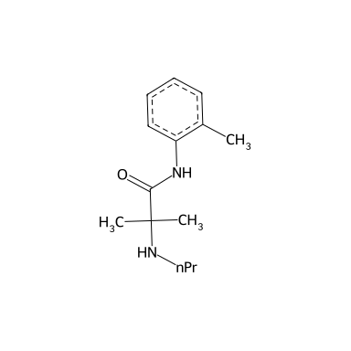 CCCNC(C)(C)C(=O)Nc1ccccc1C